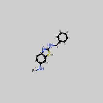 CCNc1ccc2nc(NCc3ccccc3)sc2c1